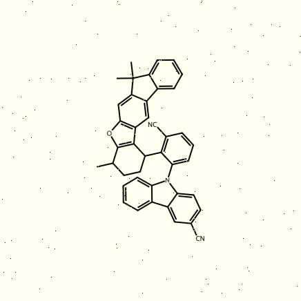 CC1CCC(c2c(C#N)cccc2-n2c3ccccc3c3cc(C#N)ccc32)c2c1oc1cc3c(cc21)-c1ccccc1C3(C)C